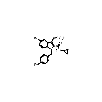 CC(C)c1ccc(Cn2c(C(=O)NC3CC3)c(CC(=O)O)c3cc(Br)ccc32)cc1